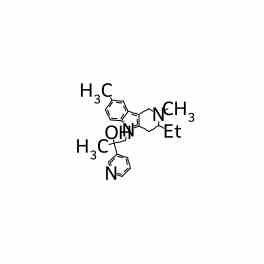 CCC1Cc2c(c3cc(C)ccc3n2CC(C)(O)c2cccnc2)CN1C